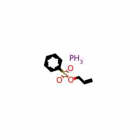 C=CCOS(=O)(=O)c1ccccc1.P